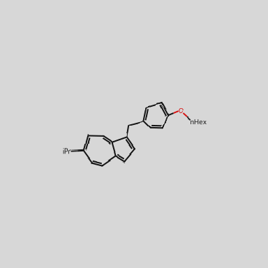 CCCCCCOc1ccc(Cc2ccc3ccc(C(C)C)ccc2-3)cc1